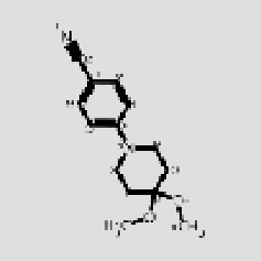 COC1(OC)CCN(c2ccc(C#N)cc2)CC1